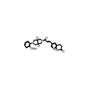 COc1ccccc1N1C[C@H]2CN(C(=O)/C=C/c3cnc4c(c3)CCC(=O)N4)C[C@H]2C1